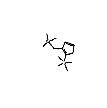 C[Si](C)(C)CC1=[C]([Ti]([CH3])([CH3])([CH3])[CH3])CC=C1